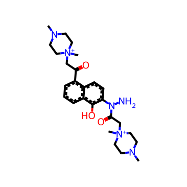 CN1CC[N+](C)(CC(=O)c2cccc3c(O)c(N(N)C(=O)C[N+]4(C)CCN(C)CC4)ccc23)CC1